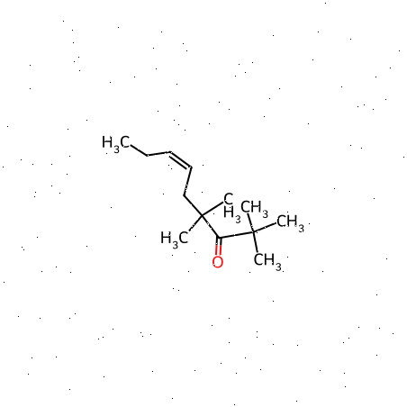 CC/C=C\CC(C)(C)C(=O)C(C)(C)C